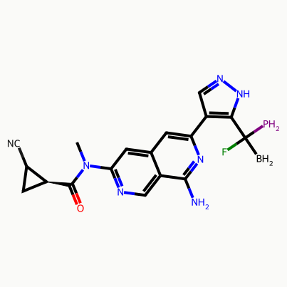 BC(F)(P)c1[nH]ncc1-c1cc2cc(N(C)C(=O)[C@H]3CC3C#N)ncc2c(N)n1